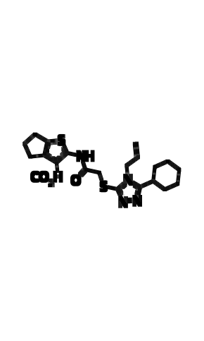 C=CCn1c(SCC(=O)Nc2sc3c(c2C(=O)O)CCC3)nnc1C1CCCCC1